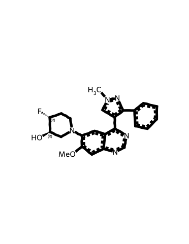 COc1cc2ncnc(-c3cn(C)nc3-c3ccccc3)c2cc1N1CC[C@@H](F)[C@H](O)C1